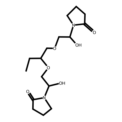 CCC(COCC(O)N1CCCC1=O)OCC(O)N1CCCC1=O